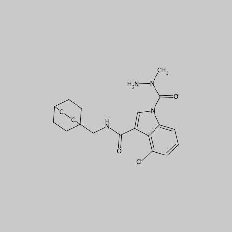 CN(N)C(=O)n1cc(C(=O)NCC23CCC(CC2)CC3)c2c(Cl)cccc21